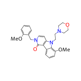 COc1ccccc1Cn1ccc2c(c1=O)c1cccc(OC)c1n2CCN1CCOCC1